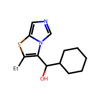 CCc1sc2cncn2c1C(O)C1CCCCC1